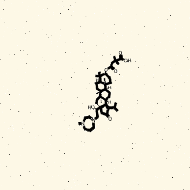 CC(C)C1=C2[C@H]3CC[C@@H]4[C@@]5(C)CC[C@H](OC(=O)CC(C)(C)C(=O)O)C(C)(C)[C@@H]5CC[C@@]4(C)[C@]3(C)CC[C@@]2([C@@H](O)CN2CCCN(C)CC2)CC1=O